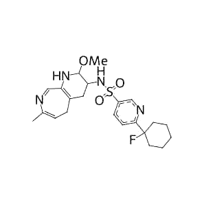 COC1NC2=C(CC=C(C)N=C2)CC1NS(=O)(=O)c1ccc(C2(F)CCCCC2)nc1